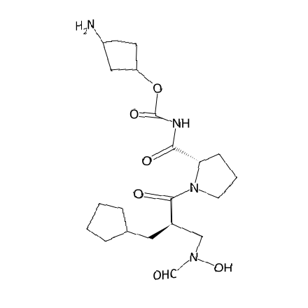 NC1CC(OC(=O)NC(=O)[C@@H]2CCCN2C(=O)[C@H](CC2CCCC2)CN(O)C=O)C1